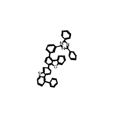 c1ccc(-c2nc(-c3ccccc3)nc(-c3cccc(-c4ccc(-c5ccc6c(c5)sc5cccc(-c7ccccc7)c56)c5oc6ccccc6c45)c3)n2)cc1